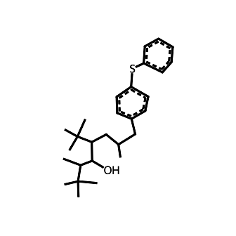 CC(Cc1ccc(Sc2ccccc2)cc1)CC(C(O)C(C)C(C)(C)C)C(C)(C)C